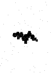 Cc1ccc(-c2cncc3[nH]c(-c4n[nH]c5ncc(-c6cncc(NC(=O)c7ccccc7)c6)cc45)cc23)s1